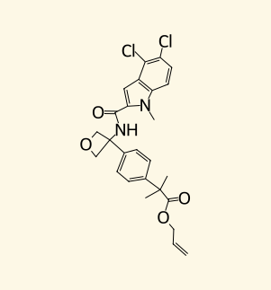 C=CCOC(=O)C(C)(C)c1ccc(C2(NC(=O)c3cc4c(Cl)c(Cl)ccc4n3C)COC2)cc1